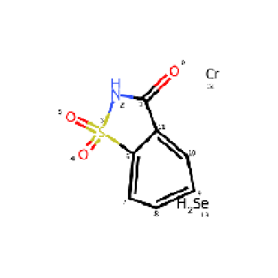 O=C1NS(=O)(=O)c2ccccc21.[Cr].[SeH2]